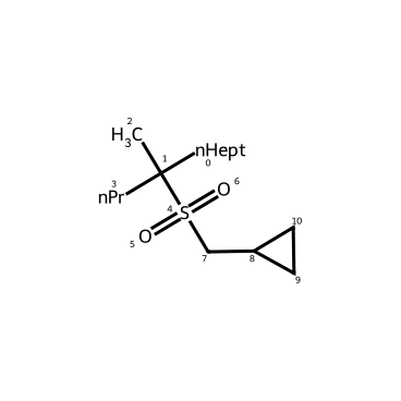 CCCCCCCC(C)(CCC)S(=O)(=O)CC1CC1